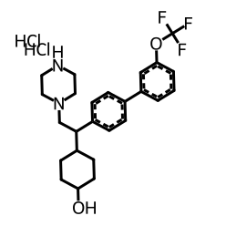 Cl.Cl.OC1CCC(C(CN2CCNCC2)c2ccc(-c3cccc(OC(F)(F)F)c3)cc2)CC1